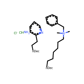 CCCCCCCCCCCCCCCC[N+](C)(C)Cc1ccccc1.CCCCCCCCCCCCc1ccccn1.Cl.N.[Cl-]